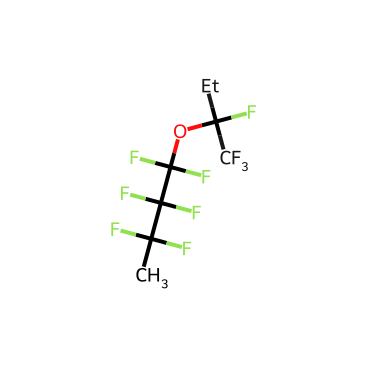 CCC(F)(OC(F)(F)C(F)(F)C(C)(F)F)C(F)(F)F